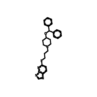 c1ccc(C(OC2CCN(CCCSc3ccc4ncnn4n3)CC2)c2ccccc2)cc1